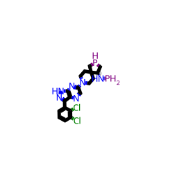 PN[C@@H]1CPCC12CCN(c1cnc3c(-c4cccc(Cl)c4Cl)n[nH]c3n1)CC2